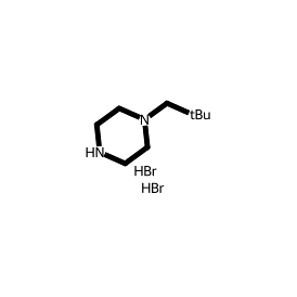 Br.Br.CC(C)(C)CN1CCNCC1